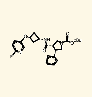 CC(C)(C)OC(=O)N1C[C@@H](C(=O)N[C@H]2C[C@H](Oc3ccc(F)nc3)C2)[C@H](c2ccccc2)C1